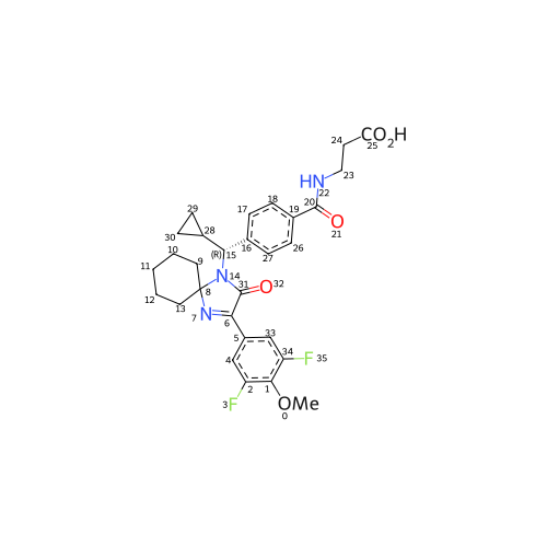 COc1c(F)cc(C2=NC3(CCCCC3)N([C@@H](c3ccc(C(=O)NCCC(=O)O)cc3)C3CC3)C2=O)cc1F